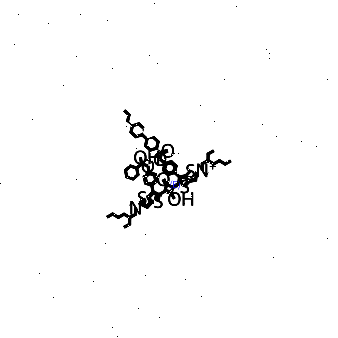 CCCCC(CC)CN(C)c1cc2sc(C3=C(O)/C(=c4\sc5c(c4-c4ccc(OC(=O)[C@H]6CC[C@H]([C@H]7CC[C@H](CCC)CC7)CC6)cc4)SC(=[N+](C)CC(CC)CCCC)C=5)C3=O)c(-c3ccc(OC(O)C4CCCCC4)cc3)c2s1